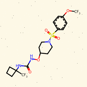 O=C(NOC1CCN(S(=O)(=O)c2ccc(OC(F)(F)F)cc2)CC1)NC1(C(F)(F)F)CCC1